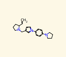 C=CC1CCCN1Cc1ccn(-c2ccc(N3CCCC3)cc2)c1